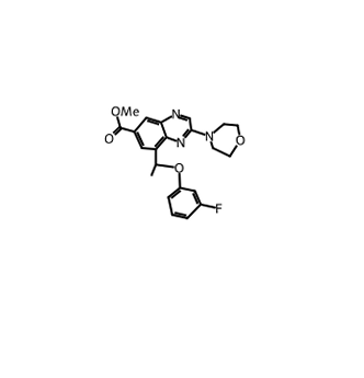 COC(=O)c1cc(C(C)Oc2cccc(F)c2)c2nc(N3CCOCC3)cnc2c1